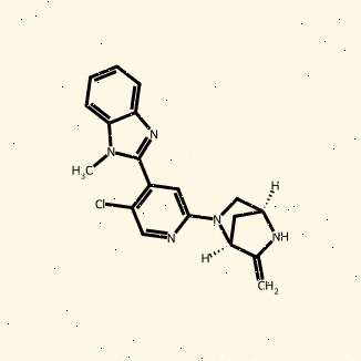 C=C1N[C@H]2C[C@@H]1N(c1cc(-c3nc4ccccc4n3C)c(Cl)cn1)C2